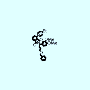 CCN1CCN(C2C=CC=C3C(=O)N([C@H](CCCOCc4ccccc4)c4ccc(OC)c(OC)c4)C(=O)C32)CC1